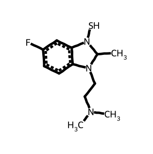 CC1N(S)c2cc(F)ccc2N1CCN(C)C